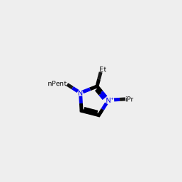 CCCCCn1cc[n+](C(C)C)c1CC